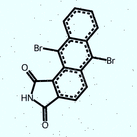 O=C1NC(=O)c2c1ccc1c(Br)c3ccccc3c(Br)c21